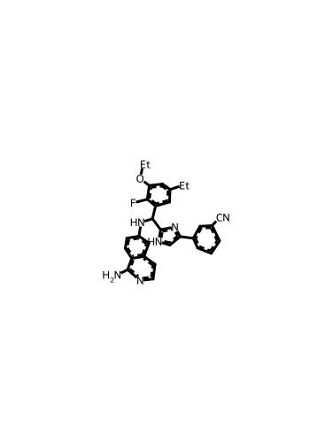 CCOc1cc(CC)cc(C(Nc2ccc3c(N)nccc3c2)c2nc(-c3cccc(C#N)c3)c[nH]2)c1F